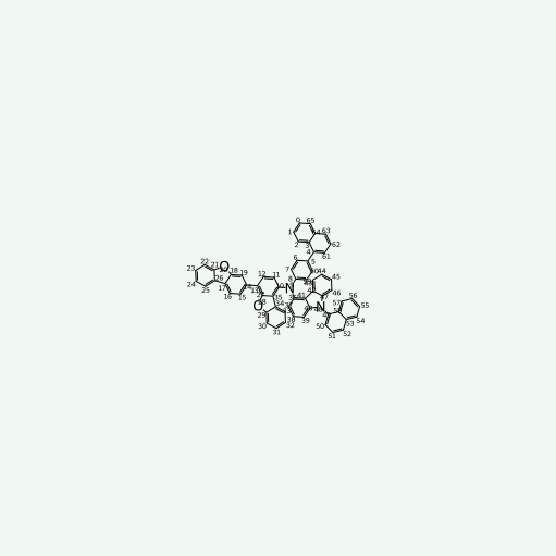 c1ccc2c(-c3ccc(N(c4ccc(-c5ccc6c(c5)oc5ccccc56)c5oc6ccccc6c45)c4cccc5c4c4ccccc4n5-c4cccc5ccccc45)cc3)cccc2c1